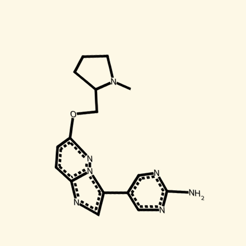 CN1CCCC1COc1ccc2ncc(-c3cnc(N)nc3)n2n1